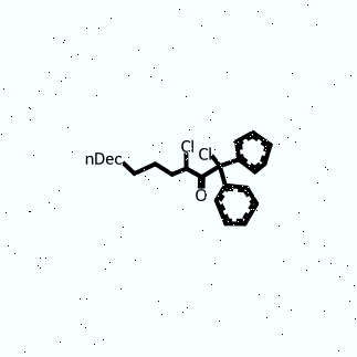 CCCCCCCCCCCCCC(Cl)C(=O)C(Cl)(c1ccccc1)c1ccccc1